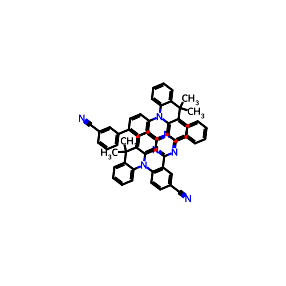 CC1(C)c2ccccc2N(c2ccc(C#N)cc2-c2nc(-c3ccccc3)nc(-c3cc(-c4cccc(C#N)c4)ccc3N3c4ccccc4C(C)(C)c4ccccc43)n2)c2ccccc21